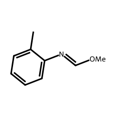 CO/C=N/c1ccccc1C